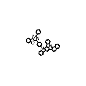 c1ccc(-c2nc(-c3ccc(-n4c5ccccc5c5cc6c7ccc8ccccc8c7n7c8ccccc8c(c54)c67)cc3)c3oc4ccccc4c3n2)cc1